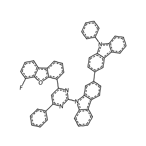 Fc1cccc2c1oc1c(-c3cc(-c4ccccc4)nc(-n4c5ccccc5c5ccc(-c6ccc7c(c6)c6ccccc6n7-c6ccccc6)cc54)n3)cccc12